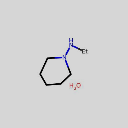 CCNN1CCCCC1.O